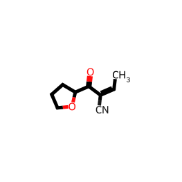 C/C=C(/C#N)C(=O)C1CCCO1